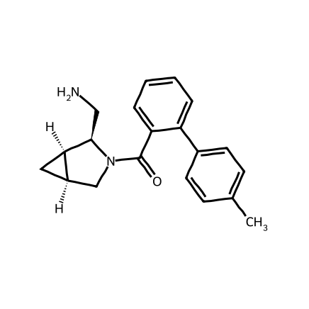 Cc1ccc(-c2ccccc2C(=O)N2C[C@H]3C[C@H]3[C@H]2CN)cc1